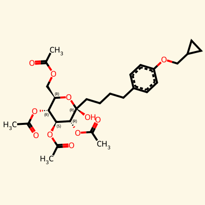 CC(=O)OC[C@H]1O[C@](O)(CCCCc2ccc(OCC3CC3)cc2)[C@H](OC(C)=O)[C@@H](OC(C)=O)[C@@H]1OC(C)=O